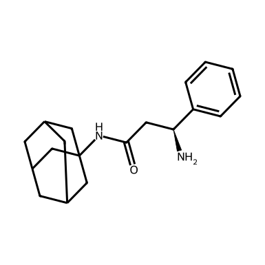 N[C@@H](CC(=O)NC12CC3CC(CC(C3)C1)C2)c1ccccc1